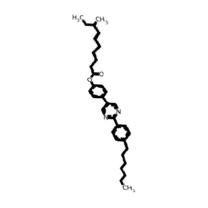 CCCCCCCc1ccc(-c2ncc(-c3ccc(OC(=O)CCCCCCC(C)CC)cc3)cn2)cc1